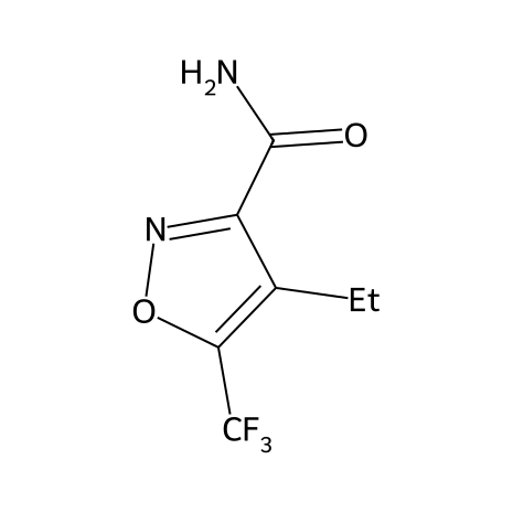 CCc1c(C(N)=O)noc1C(F)(F)F